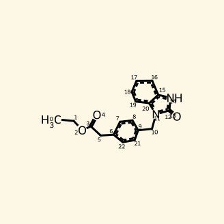 CCOC(=O)Cc1ccc(Cn2c(=O)[nH]c3ccccc32)cc1